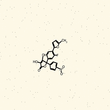 Cc1ccc(-c2ccc(C3(c4ccc([N+](=O)[O-])cc4)OC(=O)C(O)=C3O)cc2F)o1